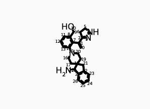 C=C(C1=NNCC1)c1c(CO)cccc1N1CCC2(CC1)Cc1ccccc1[C@H]2N